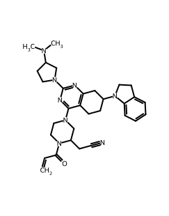 C=CC(=O)N1CCN(c2nc(N3CCC(N(C)C)C3)nc3c2CCC(N2CCc4ccccc42)C3)CC1CC#N